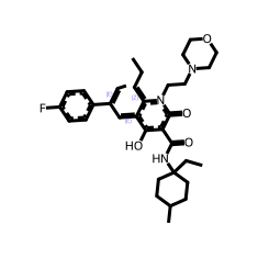 C\C=C(/C=c1/c(O)c(C(=O)NC2(CC)CCC(C)CC2)c(=O)n(CCN2CCOCC2)/c1=C\CC)c1ccc(F)cc1